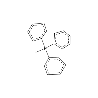 I[P](c1ccccc1)(c1ccccc1)c1ccccc1